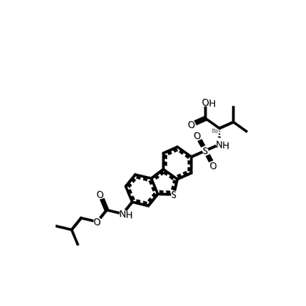 CC(C)COC(=O)Nc1ccc2c(c1)sc1cc(S(=O)(=O)N[C@H](C(=O)O)C(C)C)ccc12